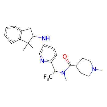 CN1CCC(C(=O)N(C)C(c2ccc(NC3Cc4ccccc4C3(C)C)cn2)C(F)(F)F)CC1